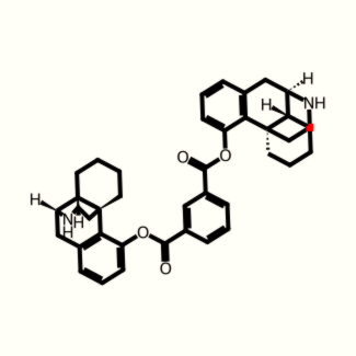 O=C(Oc1cccc2c1[C@@]13CCCC[C@H]1[C@@H](C2)NCC3)c1cccc(C(=O)Oc2cccc3c2[C@@]24CCCC[C@H]2[C@@H](C3)NCC4)c1